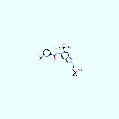 CC(C)(O)c1cc2nn(CCC3(O)CC3)cc2cc1NC(=O)c1cccc(C(F)(F)F)n1